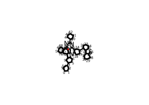 c1ccc(-c2ccc3c(c2)c2ccccc2n3-c2ccc(-c3cccc4sc5ccccc5c34)cc2-c2nc(-c3ccccc3)nc(-c3ccccc3)n2)cc1